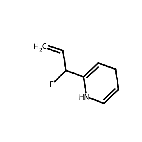 C=CC(F)C1=CCC=CN1